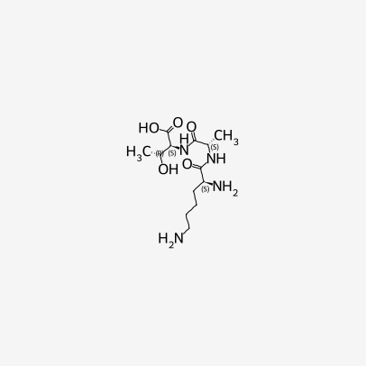 C[C@H](NC(=O)[C@@H](N)CCCCN)C(=O)N[C@H](C(=O)O)[C@@H](C)O